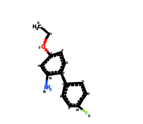 CCOc1ccc(-c2ccc(F)cc2)c(N)c1